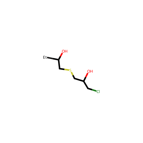 CCC(O)CSCC(O)CCl